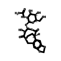 CC(=O)N[C@H]1[C@H](O[C@@H]2CC(=O)[C@@H]3CCN(Cc4cc5c(cc43)OCO5)C(=O)[C@H]2O)O[C@H](CO)[C@@H](O)[C@@H]1O